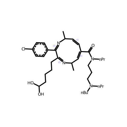 CCCCN(CCC)CCCN(CCC)C(=O)C1=C/C(C)/N=C(CCCCC(O)O)\C(c2ccc(Cl)cc2)=N/C(C)/C=C\1